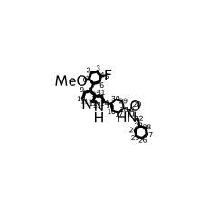 COc1ccc(F)cc1-c1ccnc2[nH]c(C3=CCC(C(=O)NCc4ccccc4)CC3)cc12